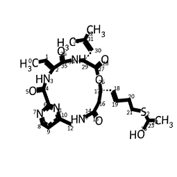 C/C=C1\NC(=O)c2nccc(n2)CNC(=O)C[C@@H](/C=C/CCSC(C)O)OC(=O)[C@@H](C=C(C)C)NC1=O